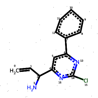 C=CC(N)c1cc(-c2ccccc2)nc(Cl)n1